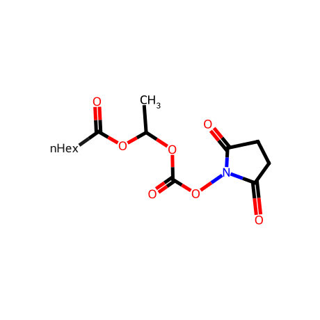 CCCCCCC(=O)OC(C)OC(=O)ON1C(=O)CCC1=O